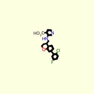 O=C(O)c1ccncc1NCC1CCOc2cc(-c3cc(F)ccc3Cl)ccc21